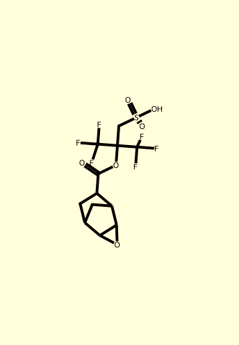 O=C(OC(CS(=O)(=O)O)(C(F)(F)F)C(F)(F)F)C1CC2CC1C1OC21